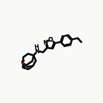 CCc1ccc(-c2cc(CNC34CC5CCC(CC(C5)C3)C4)no2)cc1